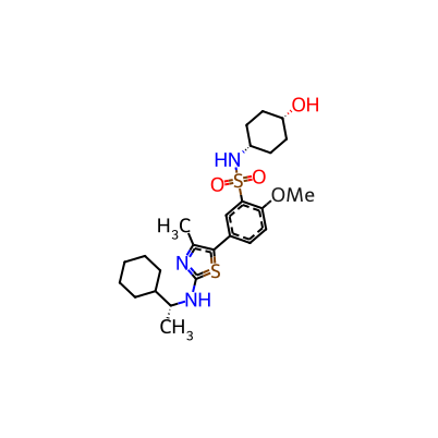 COc1ccc(-c2sc(N[C@H](C)C3CCCCC3)nc2C)cc1S(=O)(=O)N[C@H]1CC[C@@H](O)CC1